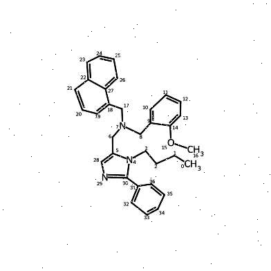 CCCCn1c(CN(Cc2ccccc2OC)Cc2cccc3ccccc23)cnc1-c1ccccc1